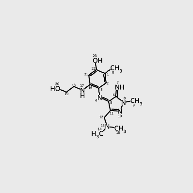 Cc1cc(N=C2C(=N)N(C)N=C2CN(C)C)c(NCCO)cc1O